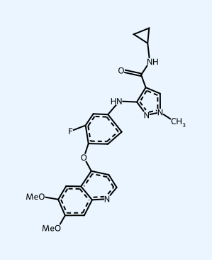 COc1cc2nccc(Oc3ccc(Nc4nn(C)cc4C(=O)NC4CC4)cc3F)c2cc1OC